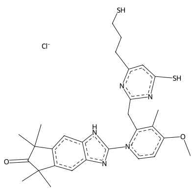 COc1cc[n+](-c2nc3cc4c(cc3[nH]2)C(C)(C)C(=O)C4(C)C)c(Cc2nc(S)cc(CCCS)n2)c1C.[Cl-]